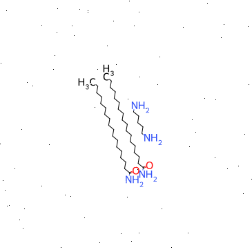 CCCCCCCCCCCCCCCCCC(N)=O.CCCCCCCCCCCCCCCCCC(N)=O.NCCCCCN